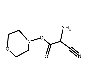 N#CC([SiH3])C(=O)ON1CCOCC1